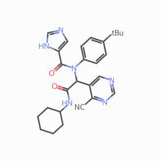 CC(C)(C)c1ccc(N(C(=O)c2cnc[nH]2)C(C(=O)NC2CCCCC2)c2cncnc2C#N)cc1